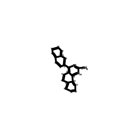 Nc1nc(-c2ccc3ccccc3c2)c2ccc3ccccc3c2n1